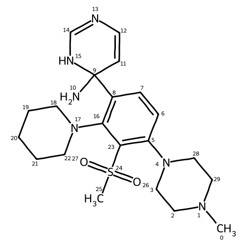 CN1CCN(c2ccc(C3(N)C=CN=CN3)c(N3CCCCC3)c2S(C)(=O)=O)CC1